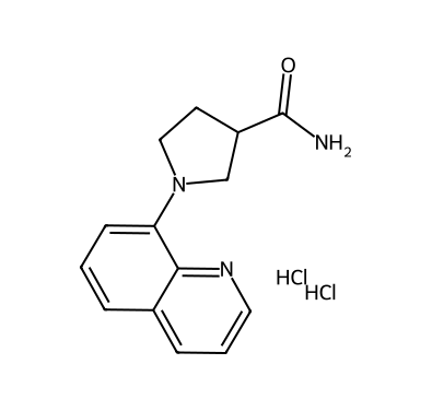 Cl.Cl.NC(=O)C1CCN(c2cccc3cccnc23)C1